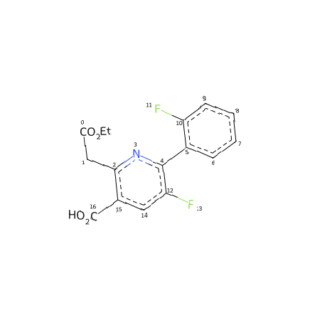 CCOC(=O)Cc1nc(-c2ccccc2F)c(F)cc1C(=O)O